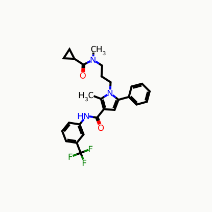 Cc1c(C(=O)Nc2cccc(C(F)(F)F)c2)cc(-c2ccccc2)n1CCCN(C)C(=O)C1CC1